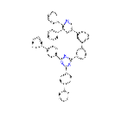 c1ccc(-c2ccc(-c3nc(-c4ccc(-c5ccccc5)cc4)nc(-c4cccc(-c5cccc(-c6cnc(-c7ccccc7)c(-c7ccccc7)c6)c5)c4)n3)cc2)cc1